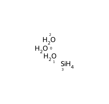 O.O.O.[SiH4]